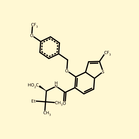 CCC(C)(C)[C@H](NC(=O)C1=C(OCc2ccc(OC(F)(F)F)cc2)C2C=C(C(F)(F)F)SC2C=C1)C(=O)O